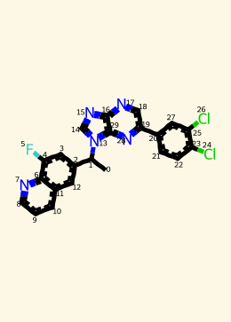 CC(c1cc(F)c2ncccc2c1)n1cnc2ncc(-c3ccc(Cl)c(Cl)c3)nc21